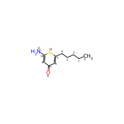 CCCCCc1cc(=O)cc(N)s1